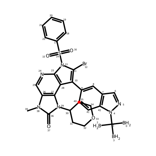 BC(B)(B)n1ncc2cc(-c3c(Br)n(S(=O)(=O)c4ccccc4)c4ncc5c(c34)n(C3CCOCC3)c(=O)n5C)ccc21